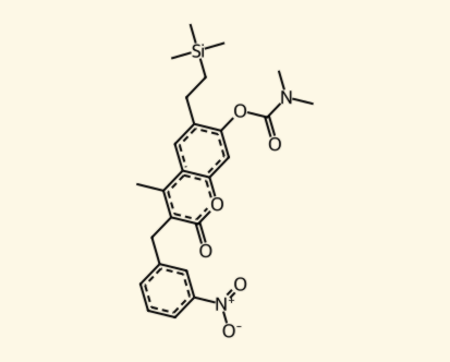 Cc1c(Cc2cccc([N+](=O)[O-])c2)c(=O)oc2cc(OC(=O)N(C)C)c(CC[Si](C)(C)C)cc12